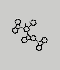 Cc1c(-c2ccccn2)cc(-n2c3ccccc3c3cc(-n4c5ccccc5c5ccccc54)ccc32)cc1-n1c2ccccc2c2ccccc21